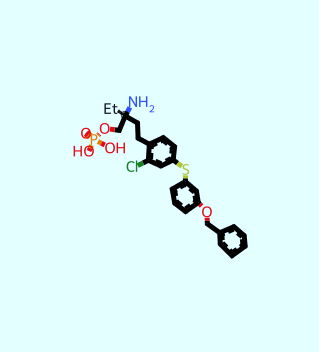 CC[C@@](N)(CCc1ccc(Sc2cccc(OCc3ccccc3)c2)cc1Cl)COP(=O)(O)O